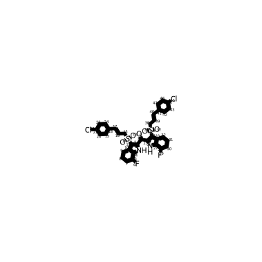 O=C(c1[nH]c2c(F)cccc2c1S(=O)(=O)CC=Cc1ccc(Cl)cc1)c1[nH]c2c(F)cccc2c1S(=O)(=O)CC=Cc1ccc(Cl)cc1